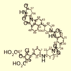 CC1(C)C[C@@H](Nc2cccc(-c3sc(C(=O)O)c(OCC(=O)O)c3Cl)c2)CCN1S(=O)(=O)Cc1ccc(F)c(NC(=O)N2CCC(c3ccc4c5c(cccc35)C(=O)N4C3CCC(=O)NC3=O)CC2)c1